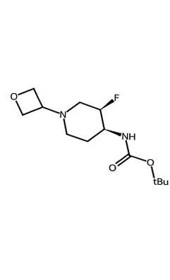 CC(C)(C)OC(=O)N[C@H]1CCN(C2COC2)C[C@H]1F